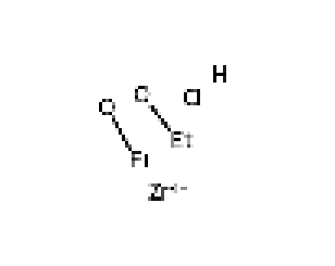 CC[O-].CC[O-].[Cl-].[H-].[Zr+4]